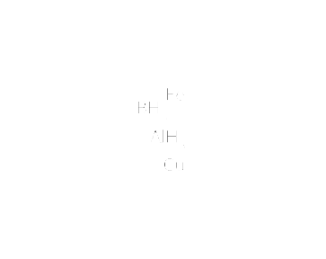 B.[AlH3].[Cu].[Fe]